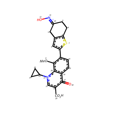 COc1c(-c2cc3c(s2)CC/C(=N/O)C3)ccc2c(=O)c(C(=O)O)cn(C3CC3)c12